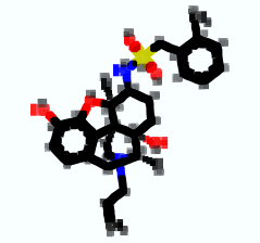 C=CCN1CC[C@]23c4c5ccc(O)c4O[C@H]2[C@@H](NS(=O)(=O)Cc2ccccc2C)CC[C@@]3(O)[C@H]1C5